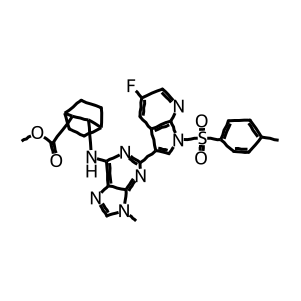 COC(=O)C1C2CCC(CC2)C1Nc1nc(-c2cn(S(=O)(=O)c3ccc(C)cc3)c3ncc(F)cc23)nc2c1ncn2C